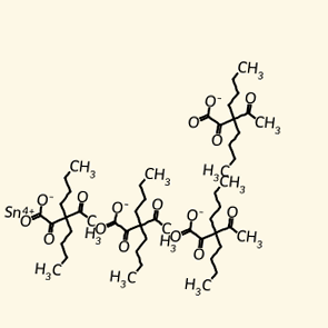 CCCCC(CCCC)(C(C)=O)C(=O)C(=O)[O-].CCCCC(CCCC)(C(C)=O)C(=O)C(=O)[O-].CCCCC(CCCC)(C(C)=O)C(=O)C(=O)[O-].CCCCC(CCCC)(C(C)=O)C(=O)C(=O)[O-].[Sn+4]